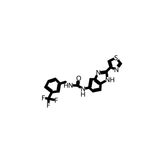 O=C(NCc1cccc(C(F)(F)F)c1)Nc1ccc2[nH]c(-c3cscn3)nc2c1